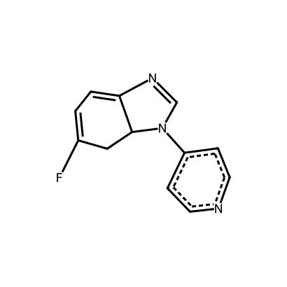 FC1=CC=C2N=CN(c3ccncc3)C2C1